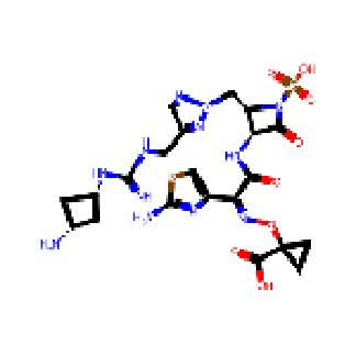 N=C(NCc1cnn(C[C@@H]2[C@H](NC(=O)/C(=N\OC3(C(=O)O)CC3)c3csc(N)n3)C(=O)N2S(=O)(=O)O)n1)N[C@H]1C[C@@H](N)C1